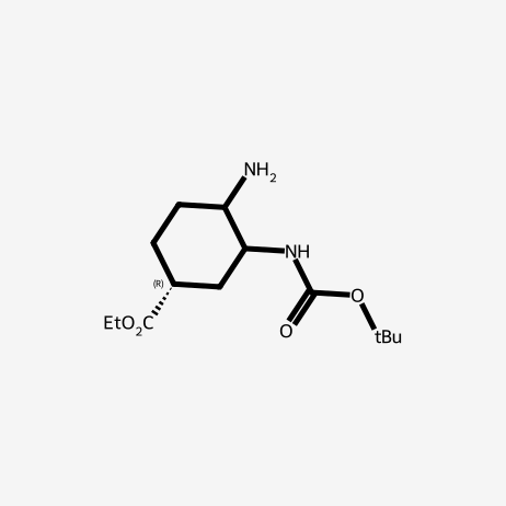 CCOC(=O)[C@@H]1CCC(N)C(NC(=O)OC(C)(C)C)C1